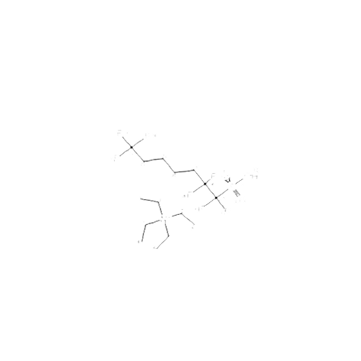 CC[N+](CC)(CC)CC.O=S(=O)(O)C(F)(F)C(F)(F)CCCCC(F)(F)F